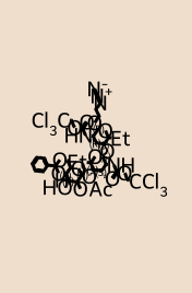 CCC1O[C@@H](OCCN=[N+]=[N-])C(NC(=O)OCC(Cl)(Cl)Cl)[C@@H](C)[C@@H]1O[C@@H]1OC(CC)[C@@H](O[C@@H]2OC3COC(c4ccccc4)O[C@H]3[C@H](O)C2OC(C)=O)[C@@H](C)C1NC(=O)OCC(Cl)(Cl)Cl